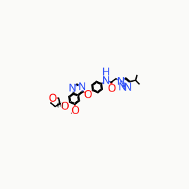 COc1cc2c(Oc3ccc(NC(=O)Cn4cc(C(C)C)nn4)cc3)ncnc2cc1O[C@@H]1CCOC1